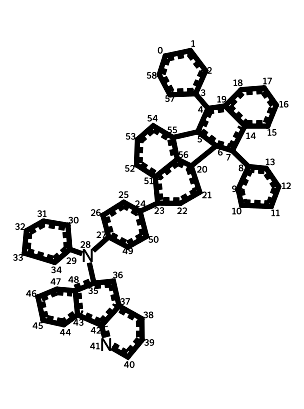 c1ccc(-c2c3c(c(-c4ccccc4)c4ccccc24)-c2ccc(-c4ccc(N(c5ccccc5)c5cc6cccnc6c6ccccc56)cc4)c4cccc-3c24)cc1